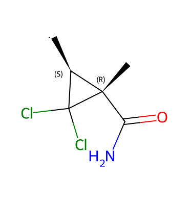 [CH2][C@@H]1C(Cl)(Cl)[C@@]1(C)C(N)=O